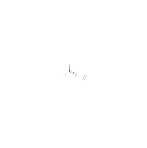 CC(=O)O.[O]=[U]